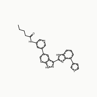 CCCCC(=O)Nc1cncc(-c2cnc3[nH]nc(-c4nc5c(-c6ccsc6)cccc5[nH]4)c3c2)c1